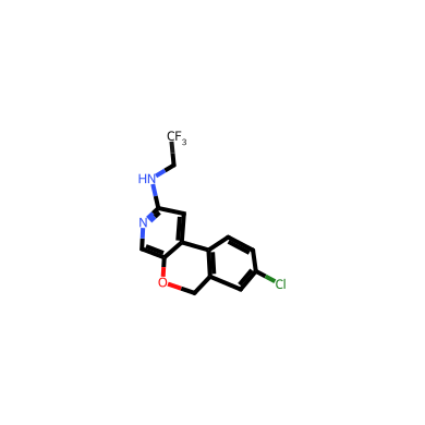 FC(F)(F)CNc1cc2c(cn1)OCc1cc(Cl)ccc1-2